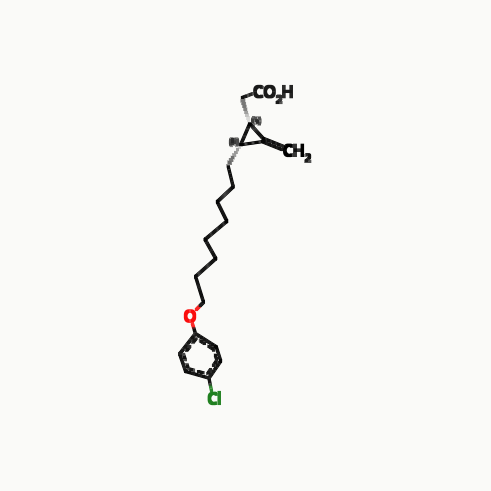 C=C1[C@@H](CC(=O)O)[C@H]1CCCCCCCCOc1ccc(Cl)cc1